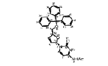 CC(=O)Nc1ccn([C@H]2C=C[C@@H](COC(c3ccccc3)(c3ccccc3)c3ccccc3)O2)c(=O)n1